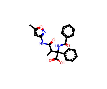 Cc1cc(NC(=O)C(C)C(NC(=O)c2ccccc2)(C(=O)O)c2ccccc2)no1